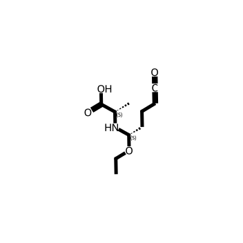 CCO[C@@H](CCC=C=O)N[C@@H](C)C(=O)O